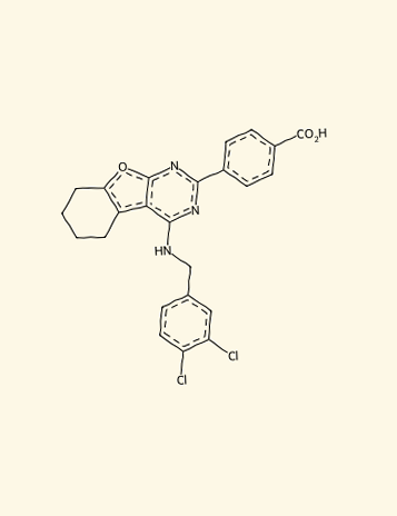 O=C(O)c1ccc(-c2nc(NCc3ccc(Cl)c(Cl)c3)c3c4c(oc3n2)CCCC4)cc1